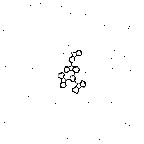 c1ccc2c(c1)oc1ccc(-n3c4ccccc4c4c(-c5cc(-n6c7ccccc7c7ccccc76)cc(-n6c7ccccc7c7ccccc76)c5)cccc43)cc12